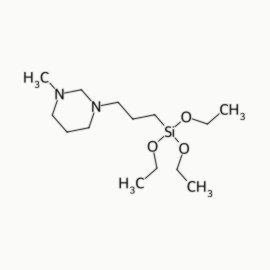 CCO[Si](CCCN1CCCN(C)C1)(OCC)OCC